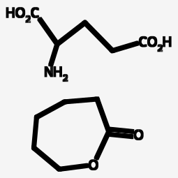 NC(CCC(=O)O)C(=O)O.O=C1CCCCCO1